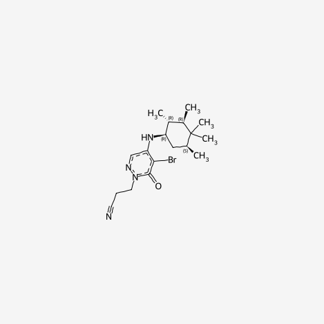 C[C@@H]1[C@@H](C)C(C)(C)[C@@H](C)C[C@H]1Nc1cnn(CCC#N)c(=O)c1Br